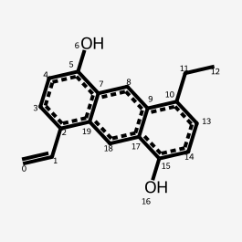 C=Cc1ccc(O)c2cc3c(CC)ccc(O)c3cc12